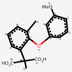 COc1cccc(Oc2c(C)cccc2C(C)(C(=O)O)C(=O)O)c1